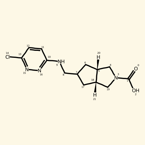 O=C(O)N1C[C@H]2CC(CNc3ccc(Cl)nn3)C[C@H]2C1